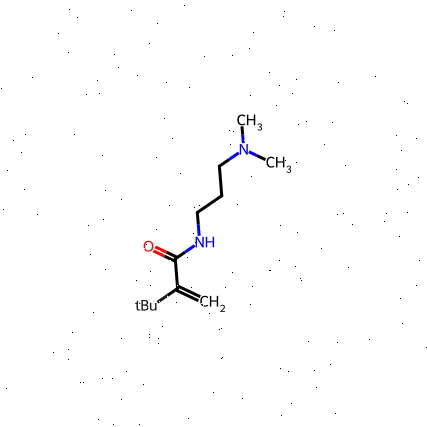 C=C(C(=O)NCCCN(C)C)C(C)(C)C